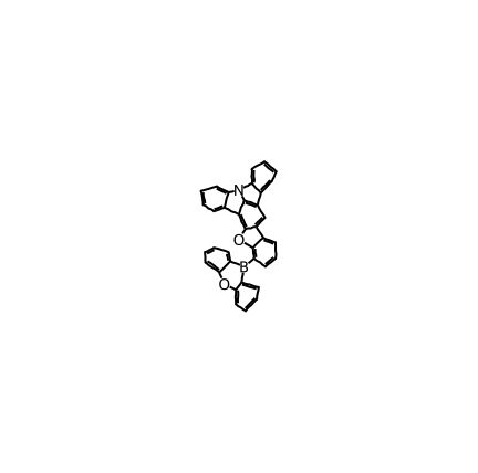 c1ccc2c(c1)Oc1ccccc1B2c1cccc2c1oc1c2cc2c3ccccc3n3c4ccccc4c1c23